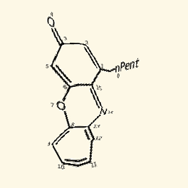 CCCCCc1cc(=O)cc2oc3ccccc3nc1-2